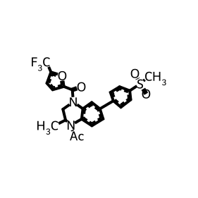 CC(=O)N1c2ccc(-c3ccc(S(C)(=O)=O)cc3)cc2N(C(=O)c2ccc(C(F)(F)F)o2)CC1C